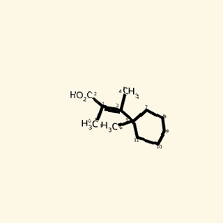 CC(C(=O)O)=C(C)C1(C)CCCCC1